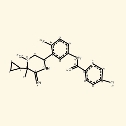 CC1(C2CC2)C(=N)NC(c2cc(NC(=O)c3ccc(Cl)cn3)ccc2F)C[S+]1[O-]